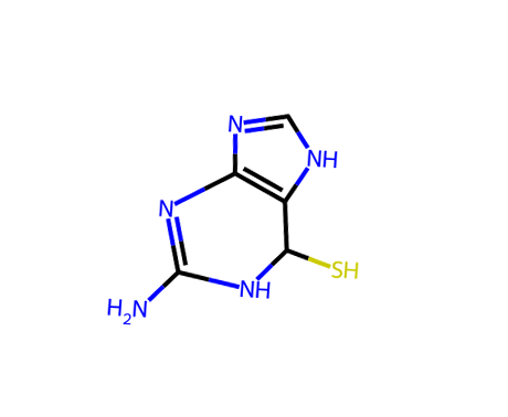 NC1=Nc2nc[nH]c2C(S)N1